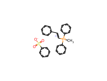 C[P+](/C=C/c1ccccc1)(c1ccccc1)c1ccccc1.O=S(=O)([O-])c1ccccc1